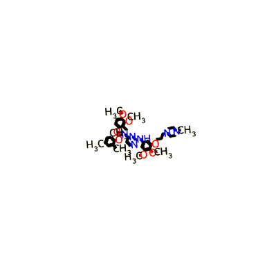 COc1cccc(CN(C(=O)Oc2c(C)cc(C)cc2C)c2ccnc(Nc3cc(OC)c(OC)c(OCCCN4CCN(C)CC4)c3)n2)c1OC